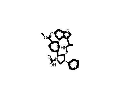 COC(=O)c1ccc(C2[C@H](CNC(C)c3csc4ccccc34)[C@@H](c3ccccc3)CN2C(=O)O)cc1